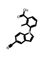 N#Cc1ccc2c(ccn2-c2cccc(C(=O)O)c2I)c1